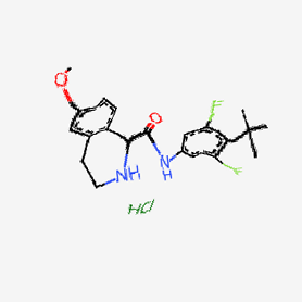 COc1ccc2c(c1)CCNC2C(=O)Nc1cc(F)c(C(C)(C)C)c(F)c1.Cl